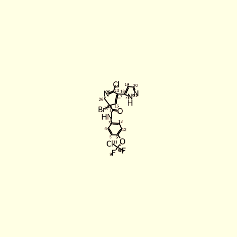 O=C(Nc1ccc(OC(F)(F)Cl)cc1)[C@@]1(Br)C=C(c2ccn[nH]2)C(Cl)=NC1